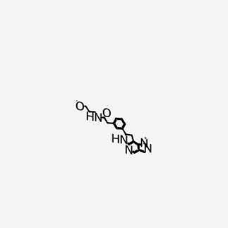 COCCCNC(=O)Cc1cccc(C2Cc3c(ncc4cnn(C)c34)N2)c1